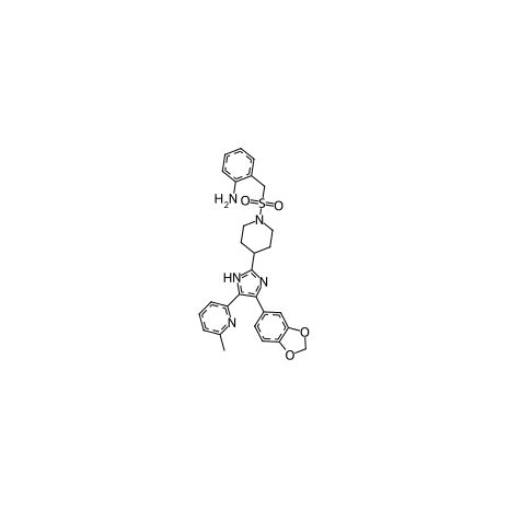 Cc1cccc(-c2[nH]c(C3CCN(S(=O)(=O)Cc4ccccc4N)CC3)nc2-c2ccc3c(c2)OCO3)n1